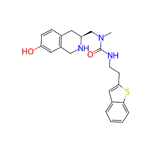 CN(C[C@@H]1Cc2ccc(O)cc2CN1)C(=O)NCCc1cc2ccccc2s1